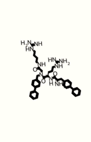 N=C(N)NCCCCNC(=O)CN(Cc1ccc(-c2ccccc2)cc1)C(=O)[C@@H](CCCNC(=N)N)NC(=O)[C@H](N)Cc1ccc(-c2ccccc2)cc1